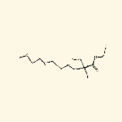 CCOC(=O)C(C)(CC)COCCOCCOC